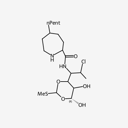 CCCCCC1CCNC(C(=O)NC(C(C)Cl)C2OC(SC)O[C@@H](O)C2O)CC1